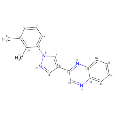 Cc1cccc(-n2cc(-c3cnc4ccccc4n3)cn2)c1C